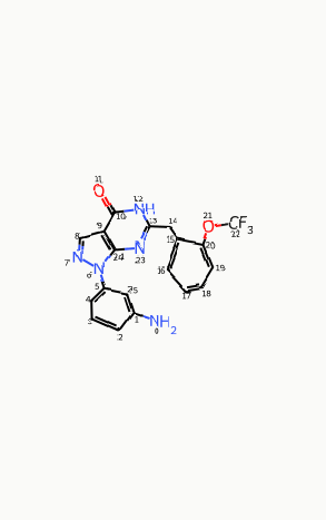 Nc1cccc(-n2ncc3c(=O)[nH]c(Cc4ccccc4OC(F)(F)F)nc32)c1